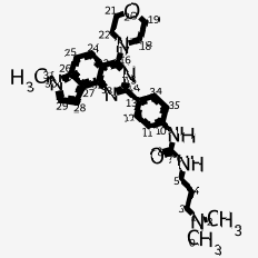 CN(C)CCCNC(=O)Nc1ccc(-c2nc(N3CCOCC3)c3ccc4c(ccn4C)c3n2)cc1